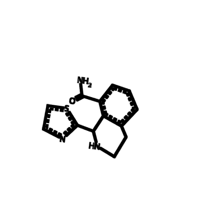 NC(=O)c1cccc2c1C(c1nccs1)NCC2